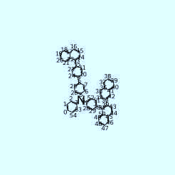 c1ccc(N(c2ccc(-c3ccc(-c4cccc5ccccc45)cc3)cc2)c2ccc(-c3c(-c4ccc5ccccc5c4)ccc4ccccc34)cc2)cc1